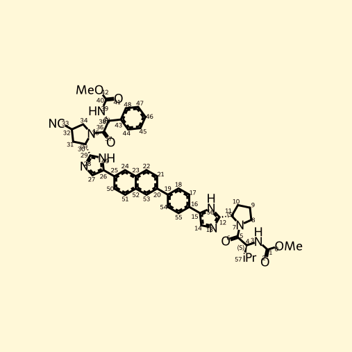 COC(=O)N[C@H](C(=O)N1CCC[C@H]1c1ncc(-c2ccc(-c3ccc4cc(-c5cnc([C@@H]6CC(C#N)CN6C(=O)[C@H](NC(=O)OC)c6ccccc6)[nH]5)ccc4c3)cc2)[nH]1)C(C)C